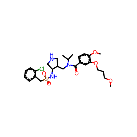 COCCCOc1cc(C(=O)N(CC2CNCC2NS(=O)(=O)Cc2ccccc2Cl)C(C)C)ccc1OC